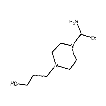 CCC(N)N1CCN(CCCO)CC1